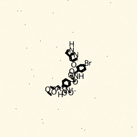 O=C(NS(=O)(=O)c1ccc([AsH]C[C@@H]2COCCO2)c([N+](=O)[O-])c1)c1ccc(Br)cc1Oc1cnc2[nH]ccc2c1